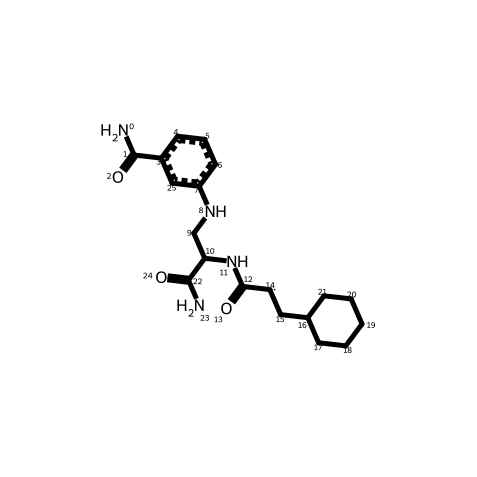 NC(=O)c1cccc(NCC(NC(=O)[CH]CC2CCCCC2)C(N)=O)c1